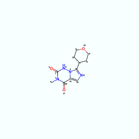 Cn1c(=O)[nH]n2c(C3CCOCC3)ncc2c1=O